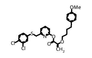 C=C(OCCCCc1ccc(OC)cc1)C(=O)Oc1cccc(CSc2ccc(Cl)c(Cl)c2)n1